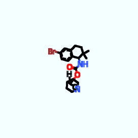 CC1(C)CCc2cc(Br)ccc2[C@@H]1NC(=O)O[C@@H]1CN2CCC1CC2